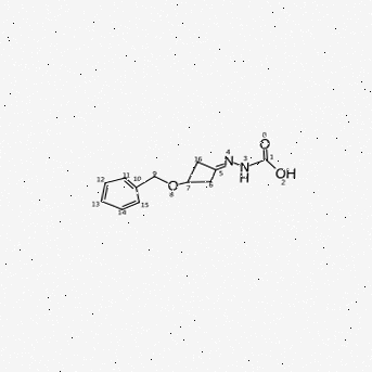 O=C(O)NN=C1CC(OCc2ccccc2)C1